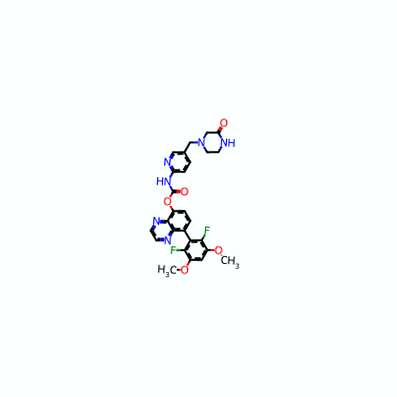 COc1cc(OC)c(F)c(-c2ccc(OC(=O)Nc3ccc(CN4CCNC(=O)C4)cn3)c3nccnc23)c1F